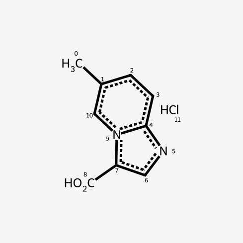 Cc1ccc2ncc(C(=O)O)n2c1.Cl